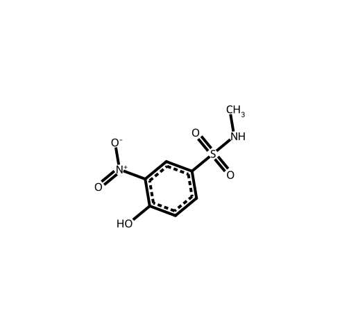 CNS(=O)(=O)c1ccc(O)c([N+](=O)[O-])c1